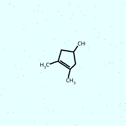 [CH]C1CC(C)=C(C)C1